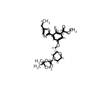 CCc1cnc(-c2cc(OC[C@H]3CN(C(=O)OC(C)(C)C)CCO3)cc(C(=O)OC)c2F)s1